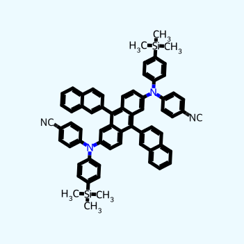 [C-]#[N+]c1ccc(N(c2ccc([Si](C)(C)C)cc2)c2ccc3c(-c4ccc5ccccc5c4)c4cc(N(c5ccc(C#N)cc5)c5ccc([Si](C)(C)C)cc5)ccc4c(-c4ccc5ccccc5c4)c3c2)cc1